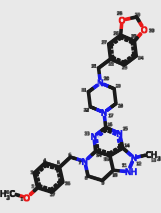 COc1ccc(CN2CCC3NN(C)c4nc(N5CCN(Cc6ccc7c(c6)OCO7)CC5)nc2c43)cc1